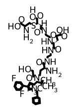 CC(C)(C)[C@H](c1cc(-c2cc(F)ccc2F)cn1Cc1ccccc1)N(CC[C@H](N)C(=O)NCCNC(=O)[C@@H](CCC(=O)O)NC(=O)CNC(=O)C[C@H](SC[C@H](N)C(=O)O)C(=O)O)C(=O)CO